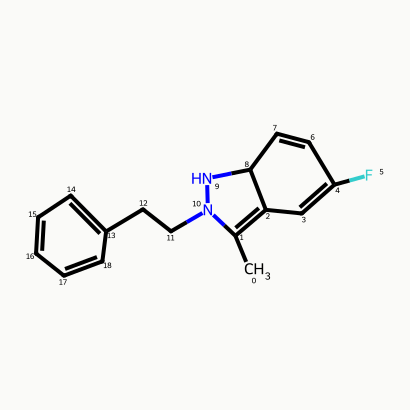 CC1=C2C=C(F)C=CC2NN1CCc1ccccc1